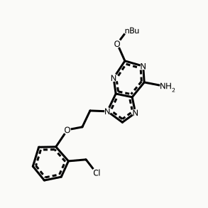 CCCCOc1nc(N)c2ncn(CCOc3ccccc3CCl)c2n1